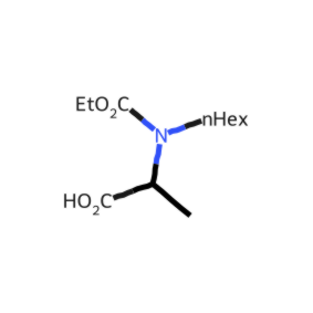 CCCCCCN(C(=O)OCC)C(C)C(=O)O